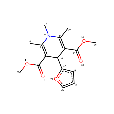 COC(=O)C1=C(C)N(C)C(C)=C(C(=O)OC)C1c1ccco1